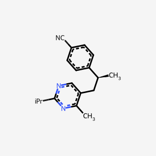 Cc1nc(C(C)C)ncc1C[C@H](C)c1ccc(C#N)cc1